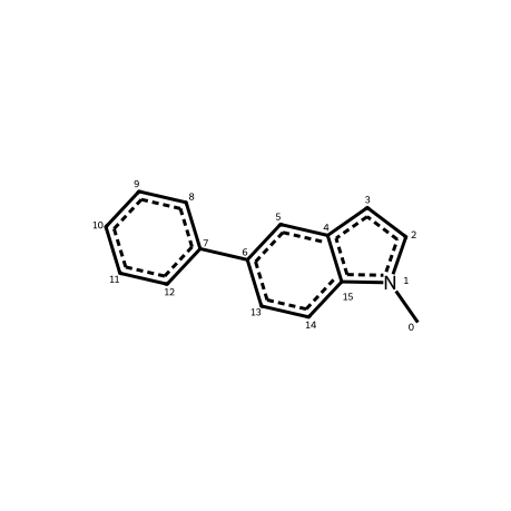 Cn1ccc2cc(-c3ccccc3)ccc21